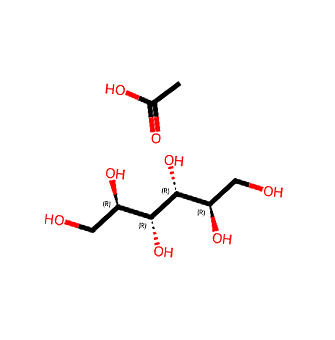 CC(=O)O.OC[C@@H](O)[C@@H](O)[C@H](O)[C@H](O)CO